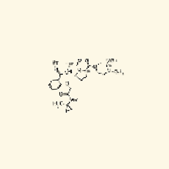 CC[C@H](C)[C@H]1CN(C(=O)[C@H]2CCCN2C(=O)[C@@H](CC(C)C)NC(=O)c2ccccc2OCC(=O)NC2(C)CC2)CCN1C